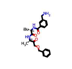 CCC(C)[C@H](NC(=O)c1cccc(CN)c1)C(=O)N[C@@H](C)C(=O)COCc1ccccc1